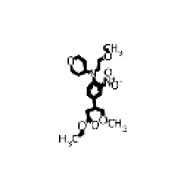 CCOC(=O)CC(COC)c1ccc(N(CCOC)C2CCOCC2)c([N+](=O)[O-])c1